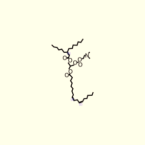 CCCCC/C=C\C/C=C\CCCCCCCC(=O)OCC(COC(=O)/C=C(\CCCCCC)CCCCCCC)COC(=O)OCCN(C)C